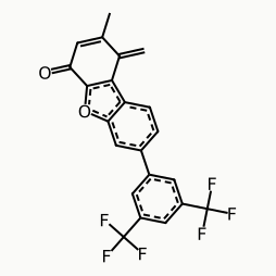 C=C1C(C)=CC(=O)c2oc3cc(-c4cc(C(F)(F)F)cc(C(F)(F)F)c4)ccc3c21